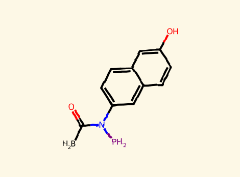 BC(=O)N(P)c1ccc2cc(O)ccc2c1